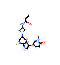 C=CC(=O)NC1CN(c2cnc3[nH]cc(-c4ccc(=O)n(C)c4)c3c2)C1